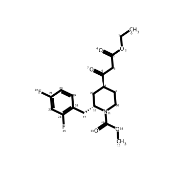 CCOC(=O)CC(=O)[C@H]1CCN(C(=O)OC)[C@H](Cc2ccc(F)cc2F)C1